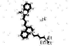 CC[N+](CC)(CC)CCCC[n+]1ccc(C=CC=C2Sc3ccccc3N2C)c2ccccc21.[I-].[I-]